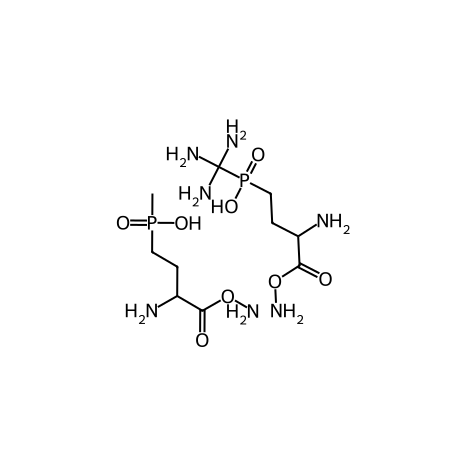 CP(=O)(O)CCC(N)C(=O)ON.NOC(=O)C(N)CCP(=O)(O)C(N)(N)N